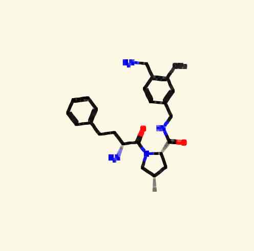 COc1cc(CNC(=O)[C@@H]2C[C@H](C)CN2C(=O)[C@H](N)CCc2ccccc2)ccc1CN